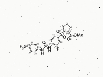 COC(=O)[C@@H]1CCCN1S(=O)(=O)c1ccc(NC(=O)Nc2ccc(C(F)(F)F)cc2)c(F)c1